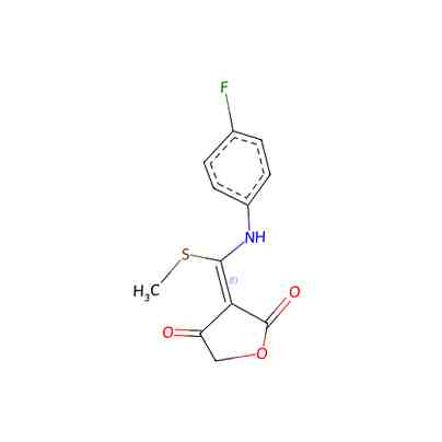 CS/C(Nc1ccc(F)cc1)=C1\C(=O)COC1=O